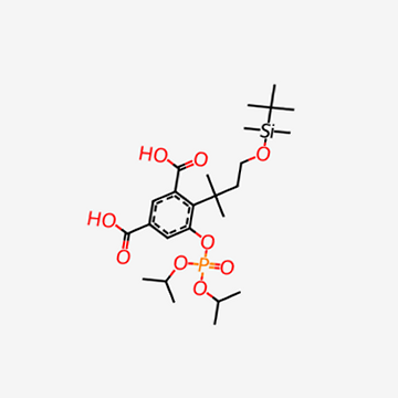 CC(C)OP(=O)(Oc1cc(C(=O)O)cc(C(=O)O)c1C(C)(C)CCO[Si](C)(C)C(C)(C)C)OC(C)C